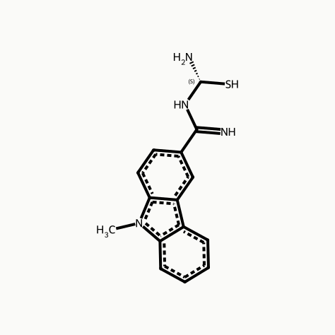 Cn1c2ccccc2c2cc(C(=N)N[C@H](N)S)ccc21